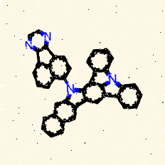 c1ccc2cc3c(cc2c1)c1cc2c4ccccc4n4c5ccccc5c(c1n3-c1ccc3c5c(cccc15)-c1nccnc1-3)c24